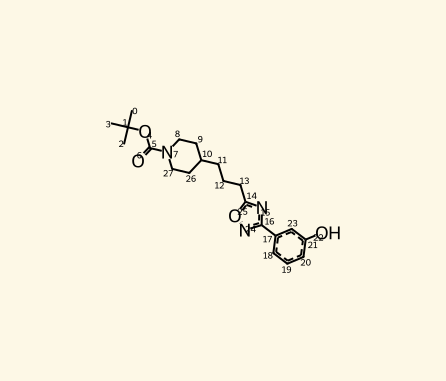 CC(C)(C)OC(=O)N1CCC(CCCc2nc(-c3cccc(O)c3)no2)CC1